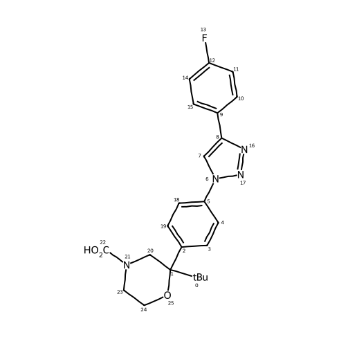 CC(C)(C)C1(c2ccc(-n3cc(-c4ccc(F)cc4)nn3)cc2)CN(C(=O)O)CCO1